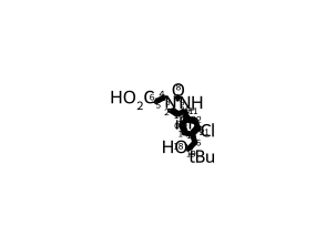 CC(C)C1=CN(CCC(=O)O)C(=O)N[C@@]1(C)c1ccc(CC(O)C(C)(C)C)c(Cl)c1